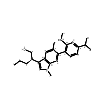 CCC[C@@H](CO)c1cn(C)c2nc(-c3ccc(C(C)C)nc3NC)c(C)cc12